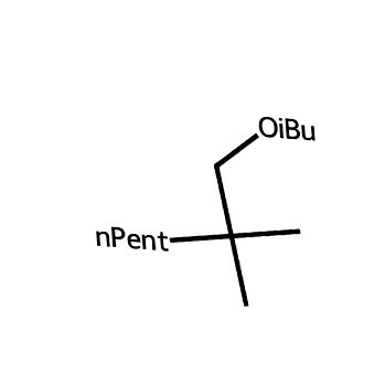 CCCCCC(C)(C)COCC(C)C